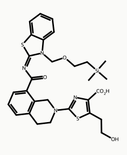 C[Si](C)(C)CCOCn1/c(=N\C(=O)c2cccc3c2CN(c2nc(C(=O)O)c(CCO)s2)CC3)sc2ccccc21